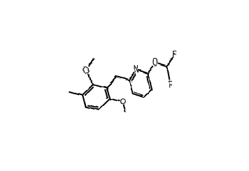 COc1ccc(C)c(OC)c1Cc1cccc(OC(F)F)n1